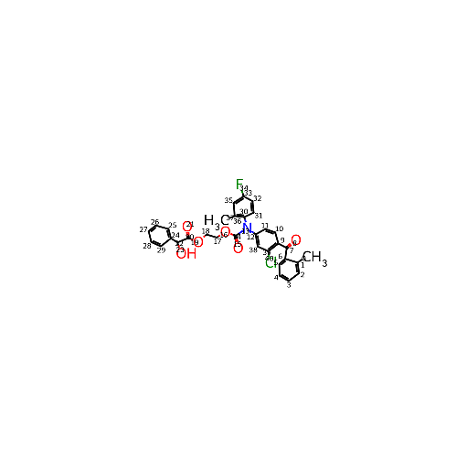 Cc1ccccc1C(=O)c1ccc(N(C(=O)OCCOC(=O)C(O)c2ccccc2)c2ccc(F)cc2C)cc1Cl